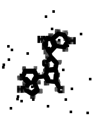 Clc1cc2c(c(-c3ccnc4[nH]ccc34)c1)O[C@@H](c1n[nH]c3c1CNCC3)C2